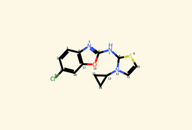 Clc1ccc2nc(NC3SC=CN3C3CC3)oc2c1